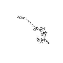 CCCCCCCCCCCCCCCCCC=CC(=O)OC[C@@H](O)COP(=O)([O-])OCC[N+](C)(C)C